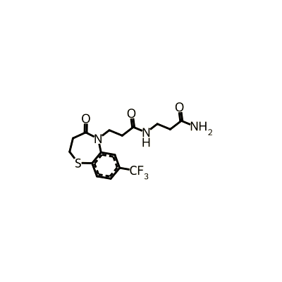 NC(=O)CCNC(=O)CCN1C(=O)CCSc2ccc(C(F)(F)F)cc21